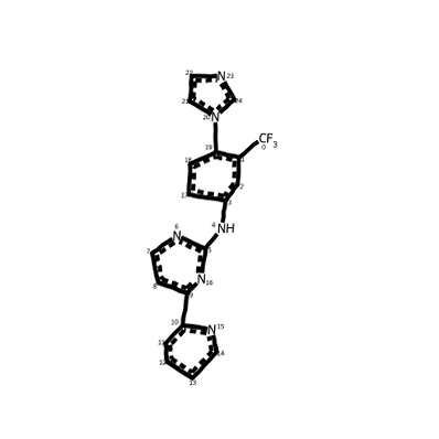 FC(F)(F)c1cc(Nc2nccc(-c3ccccn3)n2)ccc1-n1ccnc1